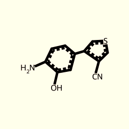 N#Cc1cscc1-c1ccc(N)c(O)c1